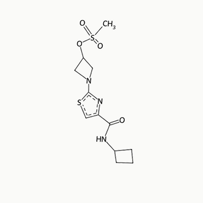 CS(=O)(=O)OC1CN(c2nc(C(=O)NC3CCC3)cs2)C1